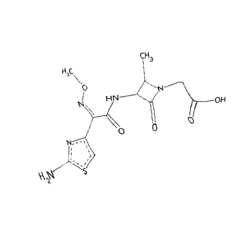 CON=C(C(=O)NC1C(=O)N(CC(=O)O)C1C)c1csc(N)n1